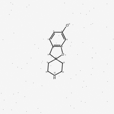 Clc1ccc2c(c1)OC1(CCNCC1)C2